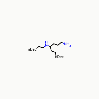 CCCCCCCCCCCCNC(CCCN)CCCCCCCCCCCC